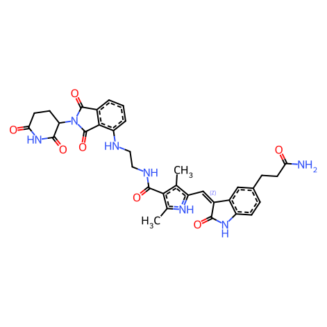 Cc1[nH]c(/C=C2\C(=O)Nc3ccc(CCC(N)=O)cc32)c(C)c1C(=O)NCCNc1cccc2c1C(=O)N(C1CCC(=O)NC1=O)C2=O